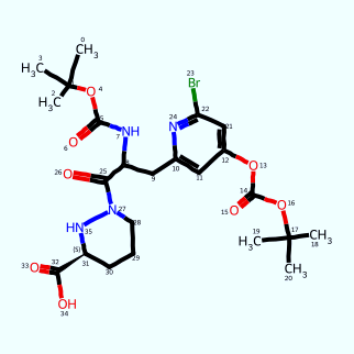 CC(C)(C)OC(=O)NC(Cc1cc(OC(=O)OC(C)(C)C)cc(Br)n1)C(=O)N1CCC[C@@H](C(=O)O)N1